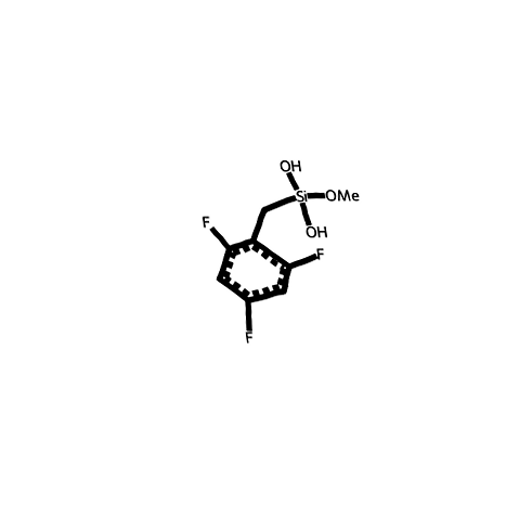 CO[Si](O)(O)Cc1c(F)cc(F)cc1F